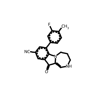 Cc1ccc(-c2cc(C#N)cc3c2N2CCCNC=C2C3=O)cc1F